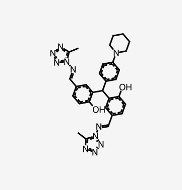 Cc1nnnn1N=Cc1ccc(O)c(C(c2ccc(N3CCCCC3)cc2)c2cc(C=Nn3nnnc3C)ccc2O)c1